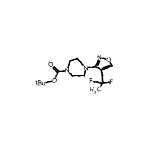 CC(C)(C)OC(=O)N1CCN(c2nocc2C(C)(F)F)CC1